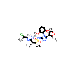 C=N/C(=N\C=C(/C)Cl)[C@@H](C)[C@H](C)S(=O)(=O)Nc1nnc([C@H]2CCO[C@@H]2C)n1-c1c(OC)cccc1OC